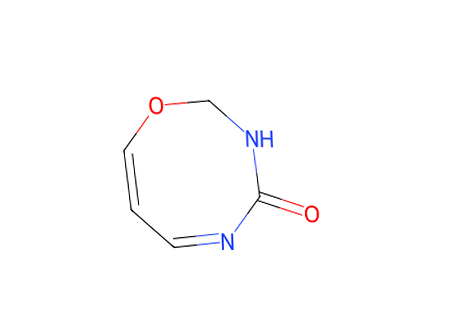 O=C1N=CC=COCN1